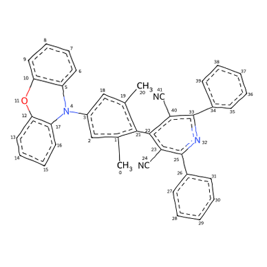 Cc1cc(N2c3ccccc3Oc3ccccc32)cc(C)c1-c1c(C#N)c(-c2ccccc2)nc(-c2ccccc2)c1C#N